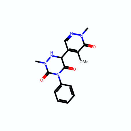 COc1c(C2NN(C)C(=O)N(c3ccccc3)C2=O)cnn(C)c1=O